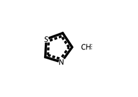 [CH].c1cscn1